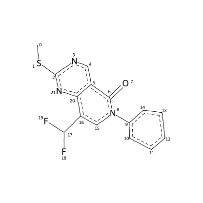 CSc1ncc2c(=O)n(-c3ccccc3)cc(C(F)F)c2n1